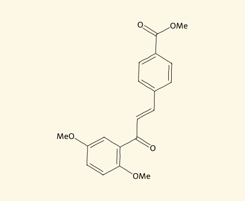 COC(=O)c1ccc(/C=C/C(=O)c2cc(OC)ccc2OC)cc1